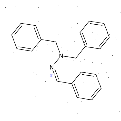 C(=N/N(Cc1ccccc1)Cc1ccccc1)/c1ccccc1